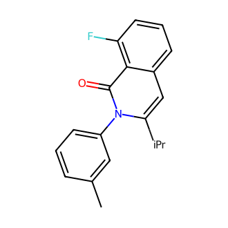 Cc1cccc(-n2c(C(C)C)cc3cccc(F)c3c2=O)c1